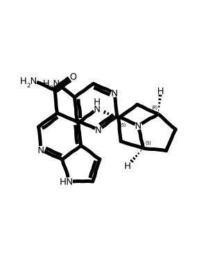 NC(=O)c1cnc2[nH]ccc2c1N[C@@H]1C[C@H]2CC[C@@H](C1)N2c1ncc(N)cn1